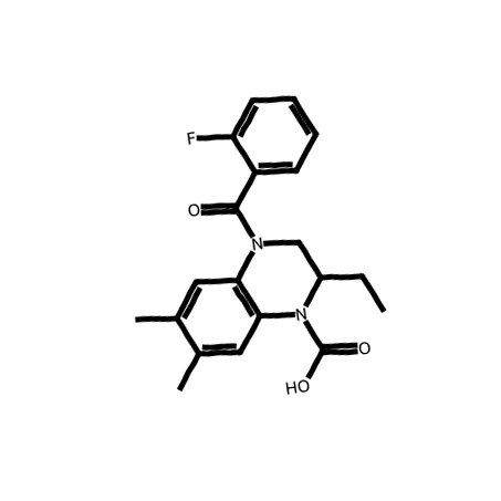 CCC1CN(C(=O)c2ccccc2F)c2cc(C)c(C)cc2N1C(=O)O